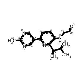 C=C(C)C(=C)c1nc(-c2cnc(C)nc2)ccc1NCC=O